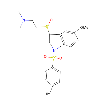 COc1ccc2c(c1)c([S+]([O-])CCN(C)C)cn2S(=O)(=O)c1ccc(C(C)C)cc1